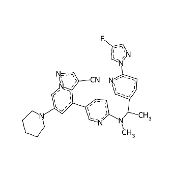 CC(c1ccc(-n2cc(F)cn2)nc1)N(C)c1ccc(-c2cc(N3CCCCC3)cn3ncc(C#N)c23)cn1